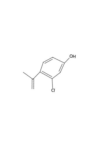 C=C(C)c1ccc(O)cc1Cl